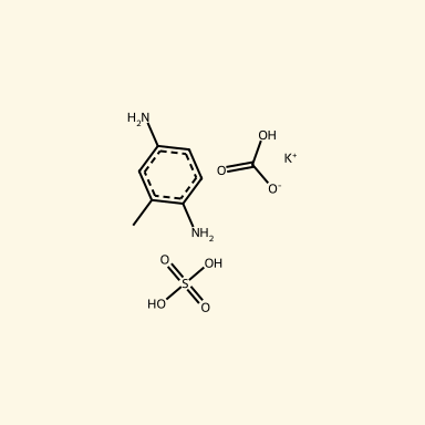 Cc1cc(N)ccc1N.O=C([O-])O.O=S(=O)(O)O.[K+]